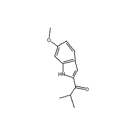 COc1ccc2cc(C(=O)C(C)C)[nH]c2c1